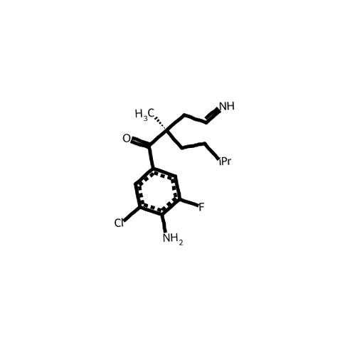 CC(C)CC[C@](C)(CC=N)C(=O)c1cc(F)c(N)c(Cl)c1